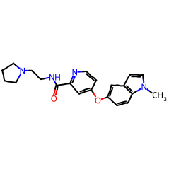 Cn1ccc2cc(Oc3ccnc(C(=O)NCCN4CCCC4)c3)ccc21